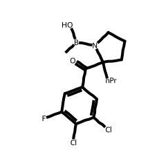 CCCC1(C(=O)c2cc(F)c(Cl)c(Cl)c2)CCCN1B(C)O